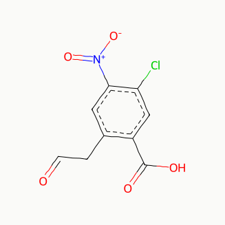 O=CCc1cc([N+](=O)[O-])c(Cl)cc1C(=O)O